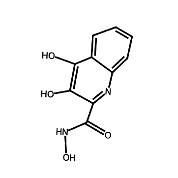 O=C(NO)c1nc2ccccc2c(O)c1O